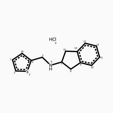 Cl.c1csc(CNC2Cc3ccccc3C2)c1